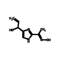 C=CC(O)c1c[nH]c(/C(C)=N/O)n1